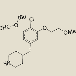 CC(C)(C)OC=O.COCCOc1cc(CC2CCNCC2)ccc1Cl